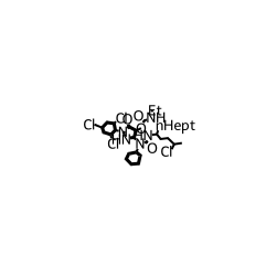 CCCCCCCC(CCC(C)Cl)NC(=O)N(c1ccccc1)c1[nH]n(-c2c(Cl)cc(Cl)cc2Cl)c(=O)c1OC(=O)NCC